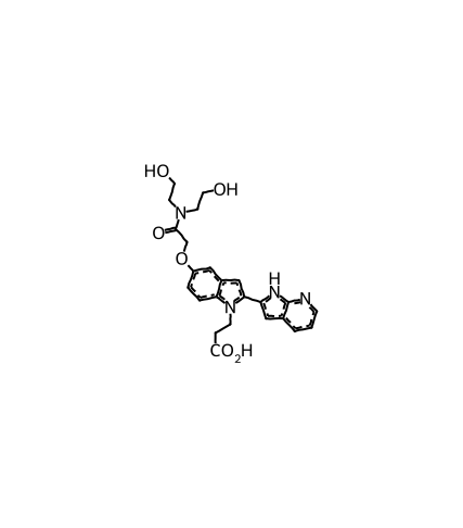 O=C(O)CCn1c(-c2cc3cccnc3[nH]2)cc2cc(OCC(=O)N(CCO)CCO)ccc21